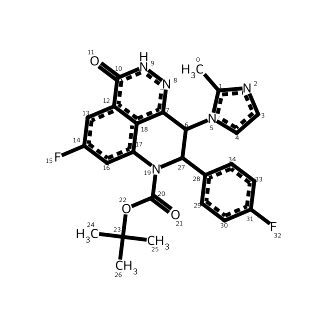 Cc1nccn1C1c2n[nH]c(=O)c3cc(F)cc(c23)N(C(=O)OC(C)(C)C)C1c1ccc(F)cc1